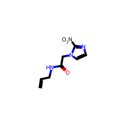 C=CCNC(=O)Cn1ccnc1[N+](=O)[O-]